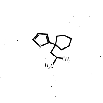 CC(C)CC1(c2cccs2)CCCCC1